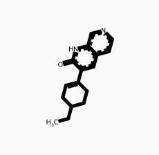 CCC1CC=C(c2cc3ccncc3[nH]c2=O)CC1